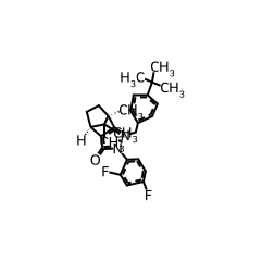 CC(C)(C)c1ccc(Cn2c3c(c(=O)n2-c2ccc(F)cc2F)[C@H]2CC[C@]3(C)C2(C)C)cc1